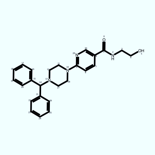 O=C(NCCO)c1ccc(N2CCN(C(c3ccccc3)c3ccccc3)CC2)nc1